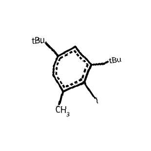 Cc1cc(C(C)(C)C)cc(C(C)(C)C)c1I